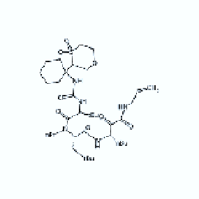 C=CCNC(=O)C(=O)[C@H](CCCC)NC(=O)[C@H](CC(C)(C)C)N(CCC)C(=O)[C@@H](NC(=O)NC1(C2COCCS2(=O)=O)CCCCC1)C(C)(C)C